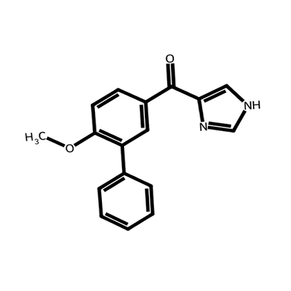 COc1ccc(C(=O)c2c[nH]cn2)cc1-c1ccccc1